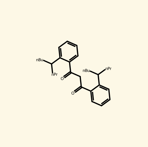 CCCCC(CCC)c1ccccc1C(=O)CC(=O)c1ccccc1C(CCC)CCCC